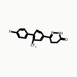 O=C1CCC(c2ccc(-c3ccc(F)cc3)c(C(F)(F)F)c2)=NN1